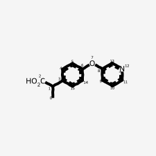 CC(C(=O)O)c1ccc(Oc2cccnc2)cc1